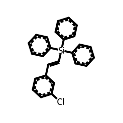 Clc1cccc(C=C[Si](c2ccccc2)(c2ccccc2)c2ccccc2)c1